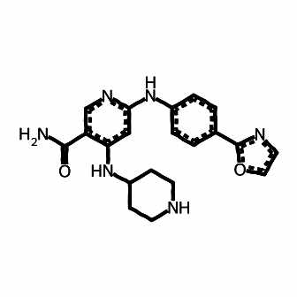 NC(=O)c1cnc(Nc2ccc(-c3ncco3)cc2)cc1NC1CCNCC1